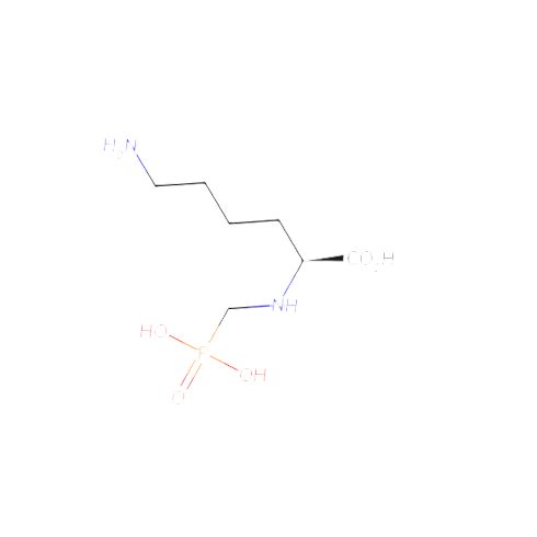 NCCCC[C@H](NCP(=O)(O)O)C(=O)O